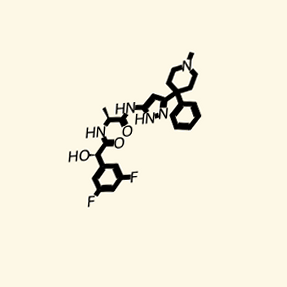 C[C@H](NC(=O)[C@@H](O)c1cc(F)cc(F)c1)C(=O)Nc1cc(C2(c3ccccc3)CCN(C)CC2)n[nH]1